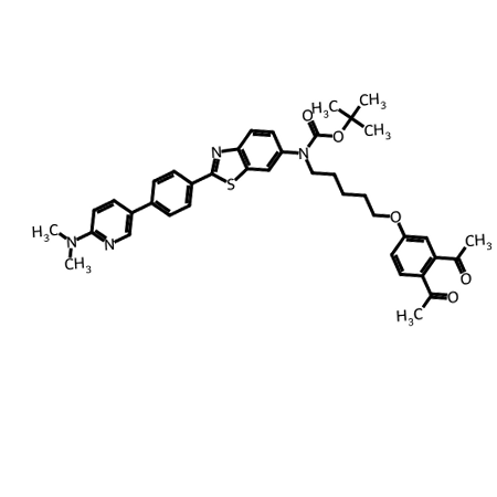 CC(=O)c1ccc(OCCCCCN(C(=O)OC(C)(C)C)c2ccc3nc(-c4ccc(-c5ccc(N(C)C)nc5)cc4)sc3c2)cc1C(C)=O